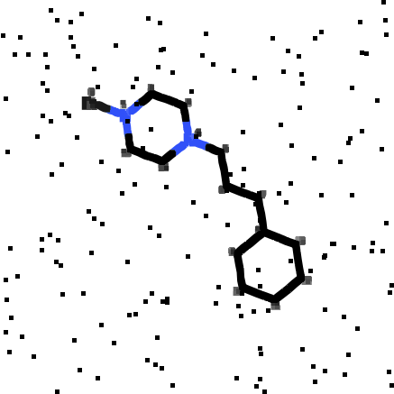 CCN1CCN(CCCC2CCCCC2)CC1